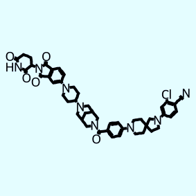 N#Cc1ccc(N2CCC3(CCN(c4ccc(C(=O)N5CC6CC(C5)CN(C5CCN(c7ccc8c(c7)C(=O)N(C7CCC(=O)NC7=O)C8=O)CC5)C6)cc4)CC3)C2)cc1Cl